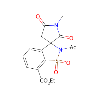 CCOC(=O)c1cccc2c1S(=O)(=O)N(C(C)=O)C21CC(=O)N(C)C1=O